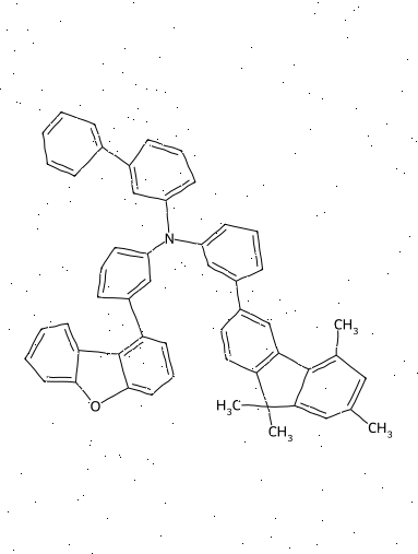 Cc1cc(C)c2c(c1)C(C)(C)c1ccc(-c3cccc(N(c4cccc(-c5ccccc5)c4)c4cccc(-c5cccc6oc7ccccc7c56)c4)c3)cc1-2